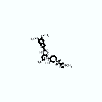 COc1cc2cc(C(=O)NC(CC(C)C)C(=O)NC3CCCN(S(=O)(=O)c4cn(C)cn4)C[C@@H]3O)oc2cc1OC